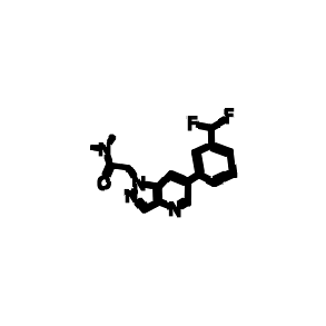 CN(C)C(=O)Cn1ncc2ncc(-c3cccc(C(F)F)c3)cc21